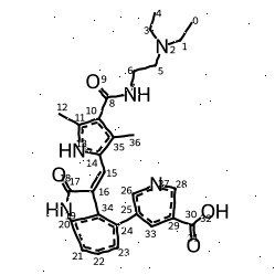 CCN(CC)CCNC(=O)c1c(C)[nH]c(/C=C2\C(=O)Nc3cccc(-c4cncc(C(=O)O)c4)c32)c1C